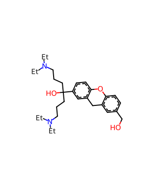 CCN(CC)CCCC(O)(CCCN(CC)CC)c1ccc2c(c1)Cc1cc(CO)ccc1O2